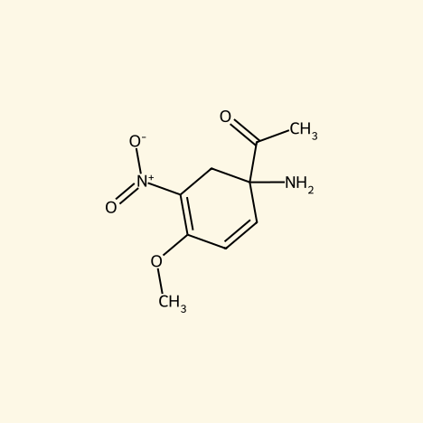 COC1=C([N+](=O)[O-])CC(N)(C(C)=O)C=C1